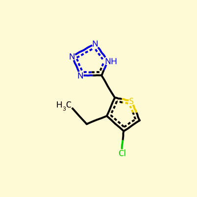 CCc1c(Cl)csc1-c1nnn[nH]1